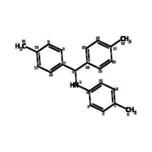 Cc1ccc(NC(c2ccc(C)cc2)c2ccc(C)cc2)cc1